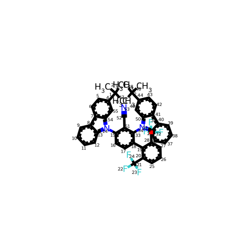 CC(C)(C)c1ccc2c3ccccc3n(-c3ccc(-c4c(C(F)(F)F)cccc4C(F)(F)F)c(-n4c5ccccc5c5ccc(C(C)(C)C)cc54)c3C#N)c2c1